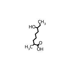 CCC(O)CCCCC(C)C(=O)O